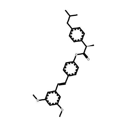 COc1cc(/C=C/c2ccc(OC(=O)[C@H](C)c3ccc(CC(C)C)cc3)cc2)cc(OC)c1